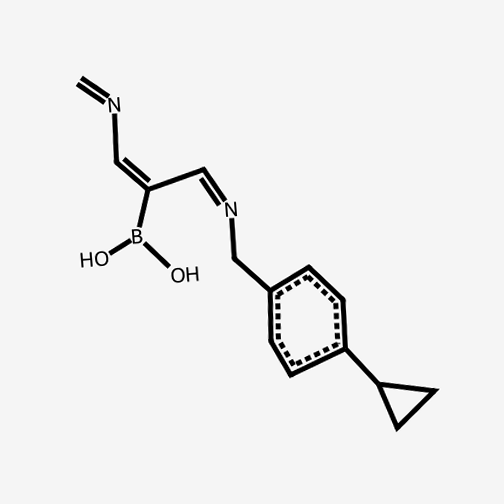 C=N/C=C(\C=N/Cc1ccc(C2CC2)cc1)B(O)O